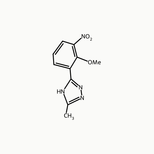 COc1c(-c2nnc(C)[nH]2)cccc1[N+](=O)[O-]